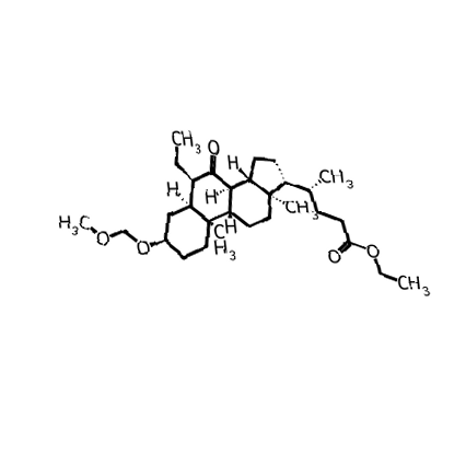 CCOC(=O)CC[C@@H](C)[C@H]1CC[C@H]2[C@@H]3C(=O)[C@H](CC)[C@@H]4C[C@H](OCOC)CC[C@]4(C)[C@H]3CC[C@]12C